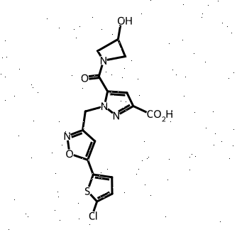 O=C(O)c1cc(C(=O)N2CC(O)C2)n(Cc2cc(-c3ccc(Cl)s3)on2)n1